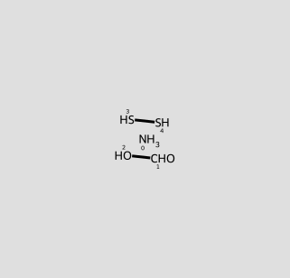 N.O=CO.SS